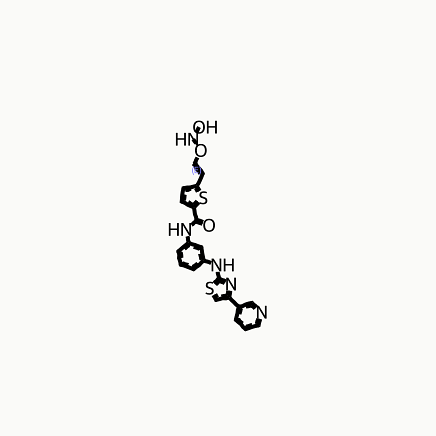 O=C(Nc1cccc(Nc2nc(-c3cccnc3)cs2)c1)c1ccc(/C=C/ONO)s1